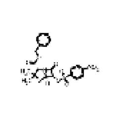 CC1(C)S[C@@H]2[C@H](OS(=O)(=O)c3ccc([N+](=O)[O-])cc3)C(=O)N2[C@H]1C(=O)OCc1ccccc1